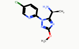 COc1nc([C@H](C)N)n(-c2ccc(Cl)cn2)n1